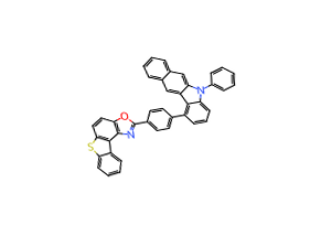 c1ccc(-n2c3cc4ccccc4cc3c3c(-c4ccc(-c5nc6c(ccc7sc8ccccc8c76)o5)cc4)cccc32)cc1